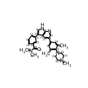 Cc1cc(-c2cnc3[nH]cc(-c4cccc(C(=O)N(C)C)c4)c3c2)cc(C)c1N1CCN(C)CC1